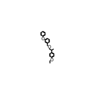 CCOc1ccc(C(C)COCc2cccc(Oc3ccccc3)c2)cc1